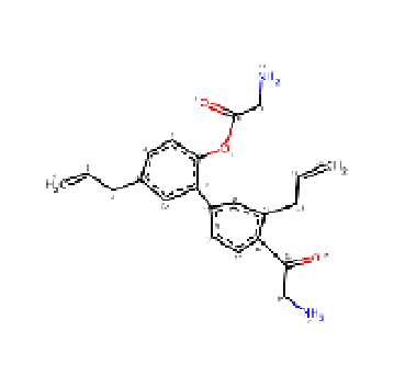 C=CCc1ccc(OC(=O)CN)c(-c2ccc(C(=O)CN)c(CC=C)c2)c1